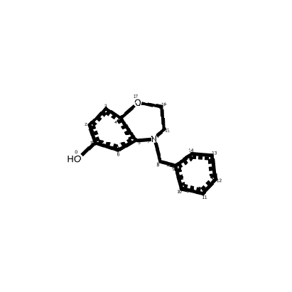 Oc1ccc2c(c1)N(Cc1ccccc1)CCO2